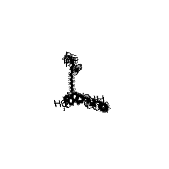 C[C@]12CCC3c4ccc(OC(=O)N[C@@H](Cc5ccccc5)C(=O)O)cc4C[C@@H](CCCCCCCCCC(CCC(F)(F)C(F)(F)F)[S+]=O)[C@H]3[C@@H]1CC[C@@H]2O